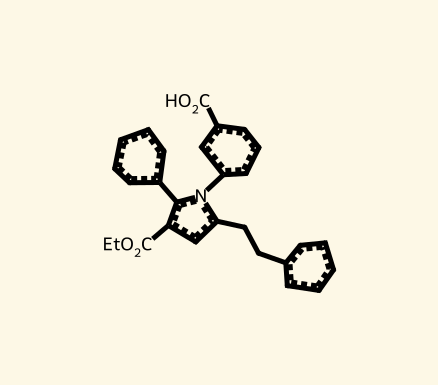 CCOC(=O)c1cc(CCc2ccccc2)n(-c2cccc(C(=O)O)c2)c1-c1ccccc1